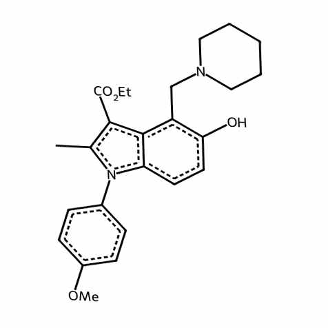 CCOC(=O)c1c(C)n(-c2ccc(OC)cc2)c2ccc(O)c(CN3CCCCC3)c12